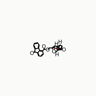 O=C(OCC1=C[C@H]2[C@@H]3C=C[C@H]2C(=O)O[C@@H]3O1)c1cccc2c1-c1ccccc1C2=O